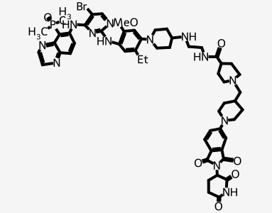 CCc1cc(Nc2ncc(Br)c(Nc3ccc4nccnc4c3P(C)(C)=O)n2)c(OC)cc1N1CCC(NCCNC(=O)C2CCN(CC3CCN(c4ccc5c(c4)C(=O)N(C4CCC(=O)NC4=O)C5=O)CC3)CC2)CC1